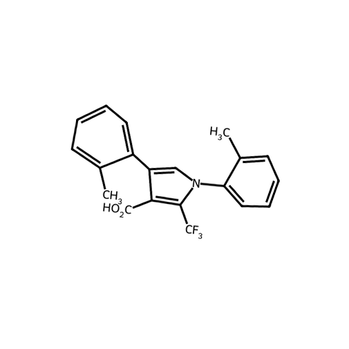 Cc1ccccc1-c1cn(-c2ccccc2C)c(C(F)(F)F)c1C(=O)O